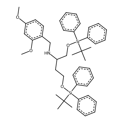 COc1ccc(CNC(CCO[Si](c2ccccc2)(c2ccccc2)C(C)(C)C)CO[Si](c2ccccc2)(c2ccccc2)C(C)(C)C)c(OC)c1